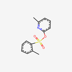 Cc1cccc(OS(=O)(=O)c2ccccc2C)n1